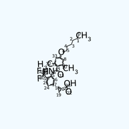 CCCCCCOc1cc(C)c(C(=O)Nc2cc([C@H]3C[C@H]3C(=O)O)ccc2C(F)(F)F)c(C)c1